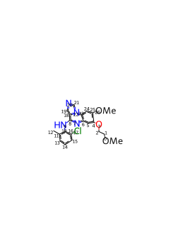 COCCOc1cc2nc(Nc3c(C)cccc3Cl)c3cncn3c2cc1OC